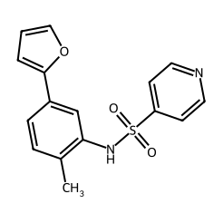 Cc1ccc(-c2ccco2)cc1NS(=O)(=O)c1ccncc1